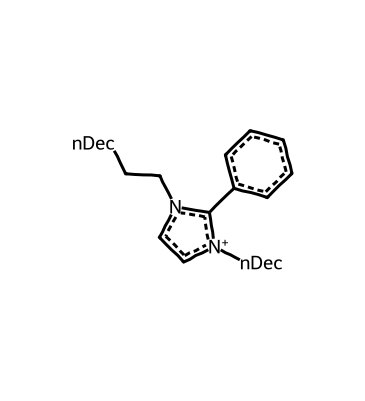 CCCCCCCCCCCCn1cc[n+](CCCCCCCCCC)c1-c1ccccc1